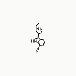 CCn1cc(-c2c[nH]c3c(C#N)cccc23)cn1